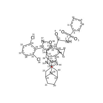 O=C(NS(=O)(=O)c1ccccc1)c1ccc2nc(N3C4CCC3CC(NCc3c(-c5c(Cl)cccc5Cl)noc3C3CC3)C4)sc2c1